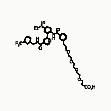 CCN(CC)c1ccc(NC(=O)c2cccc(CCCOCCOCCOCCOCCC(=O)O)c2)c(-c2cc(C(=O)NCc3cccc(C(F)(F)F)c3)ccn2)c1